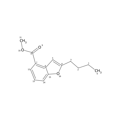 CCCCc1cc2c(C(=O)OC)cccc2o1